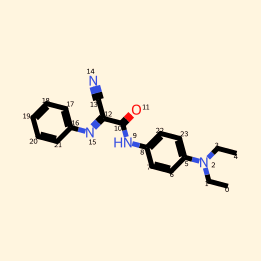 CCN(CC)c1ccc(NC(=O)C(C#N)=Nc2ccccc2)cc1